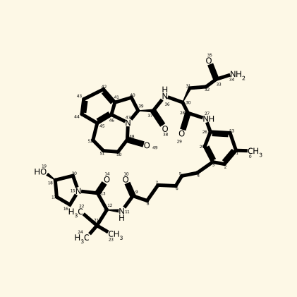 Cc1cc(CCCCCC(=O)N[C@H](C(=O)N2CC[C@@H](O)C2)C(C)(C)C)cc(NC(=O)[C@H](CCC(N)=O)NC(=O)[C@@H]2Cc3cccc4c3N2C(=O)CCC4)c1